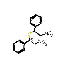 O=[N+]([O-])CC(S[C@H](C[N+](=O)[O-])c1ccccc1)c1ccccc1